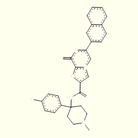 CN1CCC(NC(=O)c2cn3cc(-c4ccc5ccccc5c4)[nH]c(=O)c3n2)(c2ccc(F)cc2)CC1